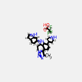 Cc1nnn2c1-c1ccc(C3=CCNCC3)cc1C(Nc1ccc3cc[nH]c3c1)CC2.O=C(O)C(F)(F)F